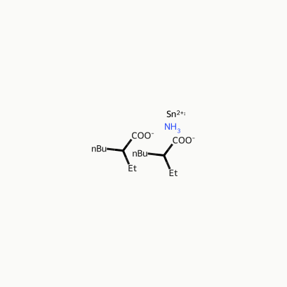 CCCCC(CC)C(=O)[O-].CCCCC(CC)C(=O)[O-].N.[Sn+2]